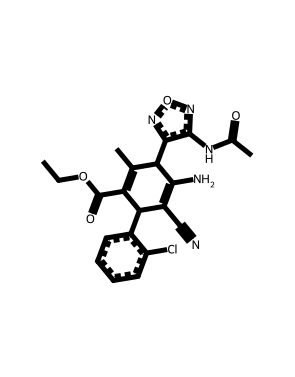 CCOC(=O)C1=C(C)C(c2nonc2NC(C)=O)C(N)=C(C#N)C1c1ccccc1Cl